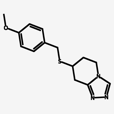 COc1ccc(CSC2CCn3cnnc3C2)cc1